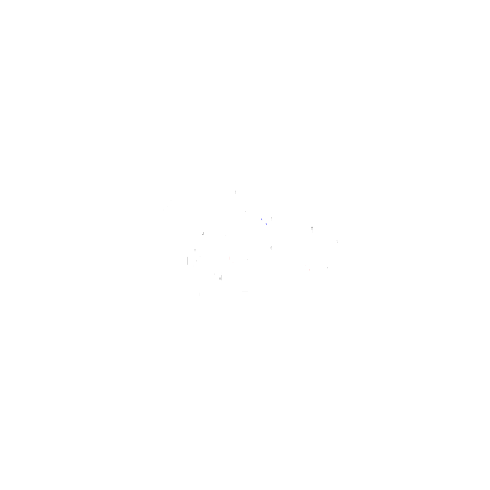 Cc1ccc(N=Cc2ccco2)c(O[Si](C)(C)C)c1